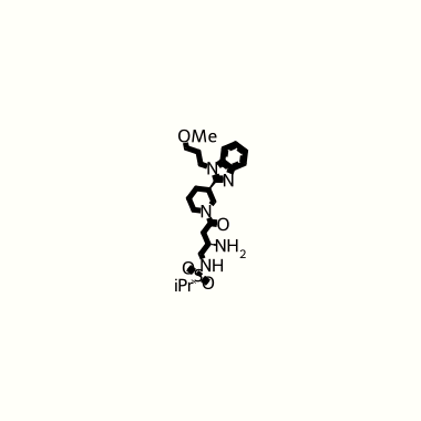 COCCCn1c([C@@H]2CCCN(C(=O)C[C@H](N)CNS(=O)(=O)C(C)C)C2)nc2ccccc21